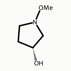 CON1CC[C@@H](O)C1